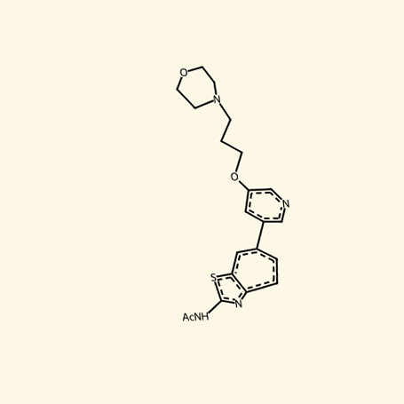 CC(=O)Nc1nc2ccc(-c3cncc(OCCCN4CCOCC4)c3)cc2s1